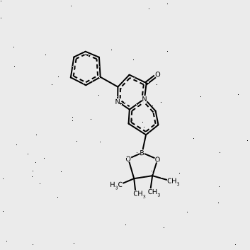 CC1(C)OB(c2ccn3c(=O)cc(-c4ccccc4)nc3c2)OC1(C)C